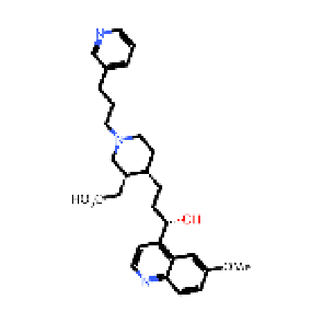 COc1ccc2nccc([C@@H](O)CC[C@@H]3CCN(CCCc4cccnc4)C[C@@H]3CC(=O)O)c2c1